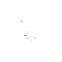 CC(C)(C)N(C(=O)O)c1ccccc1NC(=O)c1cnc(N2CCN(Cc3ccccc3)CC2)cn1